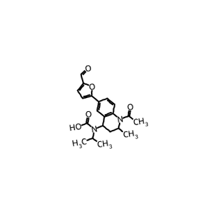 CC(=O)N1c2ccc(-c3ccc(C=O)o3)cc2C(N(C(=O)O)C(C)C)CC1C